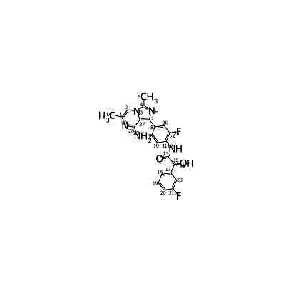 Cc1cn2c(C)nc(-c3ccc(NC(=O)[C@@H](O)c4cccc(F)c4)c(F)c3)c2c(N)n1